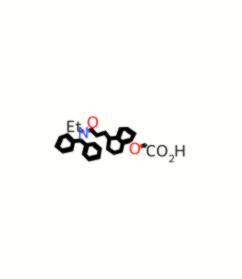 CCN(C(=O)CCC1CCCc2c(OCC(=O)O)cccc21)C(c1ccccc1)c1ccccc1